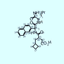 CC(C)C[C@H](NC(=O)[C@@](C)(NC(=O)[C@@H](CC(=O)O)CC1CCC1)c1ccc2ccccc2c1)C(N)=O